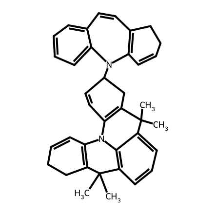 CC1(C)C2=C(C=CCC2)N2C3=C(CC(N4C5=C(C=Cc6ccccc64)CCC=C5)C=C3)C(C)(C)c3cccc1c32